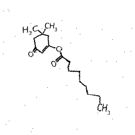 CCCCCCCCC(=O)OC1=CC(=O)CC(C)(C)C1